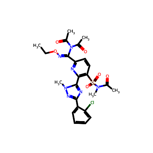 CCON=C(c1ccc(S(=O)(=O)N(C)C(C)=O)c(-c2nc(-c3ccccc3Cl)nn2C)n1)N(C(C)=O)C(C)=O